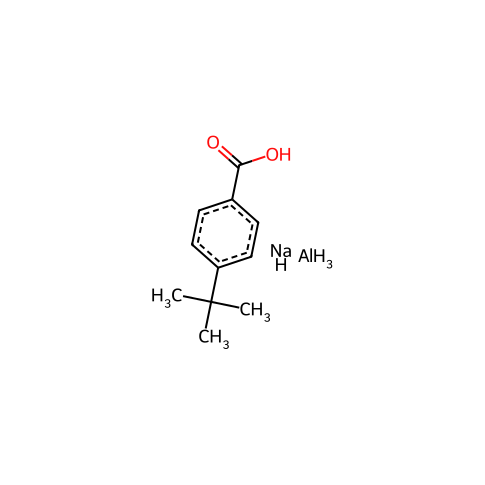 CC(C)(C)c1ccc(C(=O)O)cc1.[AlH3].[NaH]